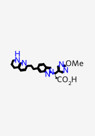 COc1ncc([C@H](CC(=O)O)n2cc3ccc(CCc4ccc5c(n4)NCCC5)cc3n2)cn1